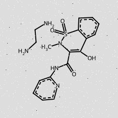 CN1C(C(=O)Nc2ccccn2)=C(O)c2ccccc2S1(=O)=O.NCCN